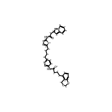 O=C(CCCc1cccc2c1COCO2)Nc1ccc(CCCCc2nnc(NC(=O)Cc3cc4ccccn4n3)s2)nn1